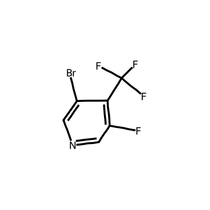 Fc1cncc(Br)c1C(F)(F)F